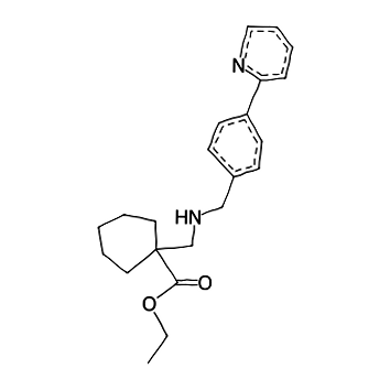 CCOC(=O)C1(CNCc2ccc(-c3ccccn3)cc2)CCCCC1